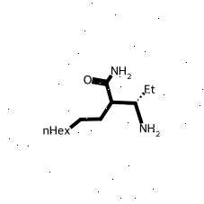 CCCCCCCCC(C(N)=O)[C@@H](N)CC